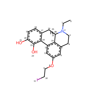 CCN1CCc2cc(OCCI)cc3c2[C@H]1Cc1ccc(O)c(O)c1-3